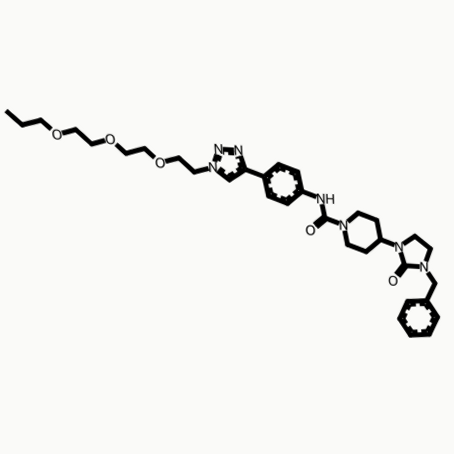 CCCOCCOCCOCCn1cc(-c2ccc(NC(=O)N3CCC(N4CCN(Cc5ccccc5)C4=O)CC3)cc2)nn1